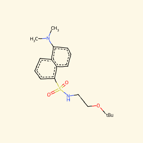 CN(C)c1cccc2c(S(=O)(=O)NCCOC(C)(C)C)cccc12